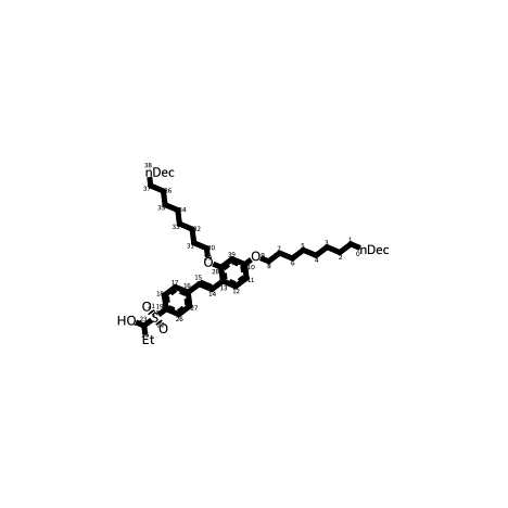 CCCCCCCCCCCCCCCCCCOc1ccc(C=Cc2ccc(S(=O)(=O)C(O)CC)cc2)c(OCCCCCCCCCCCCCCCCCC)c1